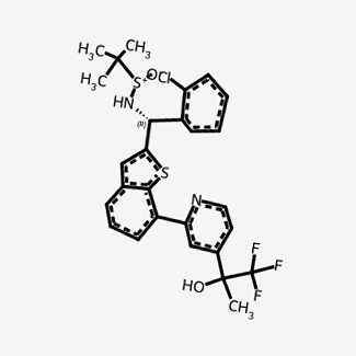 CC(C)(C)[S+]([O-])N[C@@H](c1cc2cccc(-c3cc(C(C)(O)C(F)(F)F)ccn3)c2s1)c1ccccc1Cl